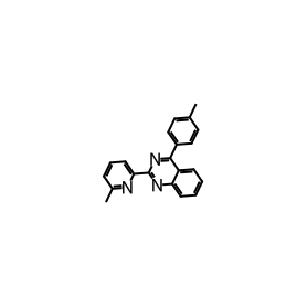 Cc1ccc(-c2nc(-c3cccc(C)n3)nc3ccccc23)cc1